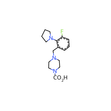 O=C(O)N1CCN(Cc2cccc(F)c2N2CCCC2)CC1